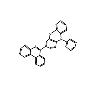 c1ccc(N2c3ccccc3Sc3cc(-c4nc5ccccc5c5ccccc45)ccc32)cc1